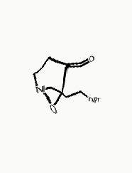 CCCC12ON1CCC2=O